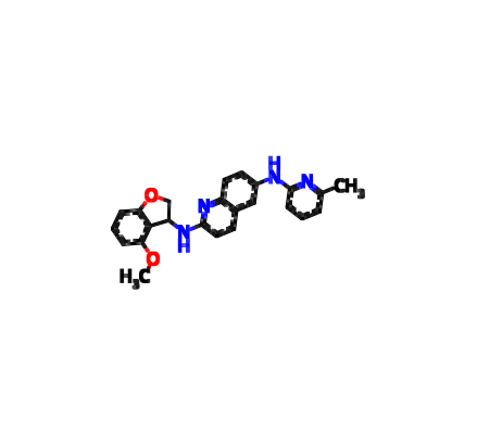 COc1cccc2c1C(Nc1ccc3cc(Nc4cccc(C)n4)ccc3n1)CO2